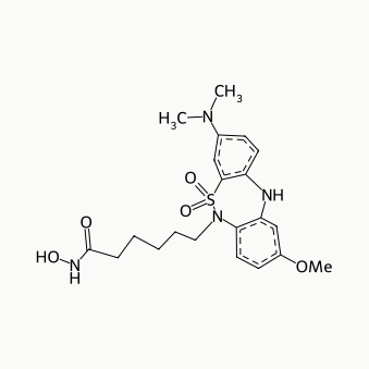 COc1ccc2c(c1)Nc1ccc(N(C)C)cc1S(=O)(=O)N2CCCCCC(=O)NO